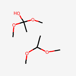 COC(C)(O)OC.COC(C)OC